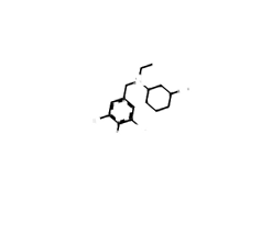 CCN(Cc1cc(Br)c(O)c(Br)c1)C1CCCC(O)C1